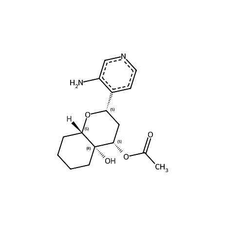 CC(=O)O[C@H]1C[C@@H](c2ccncc2N)O[C@H]2CCCC[C@]12O